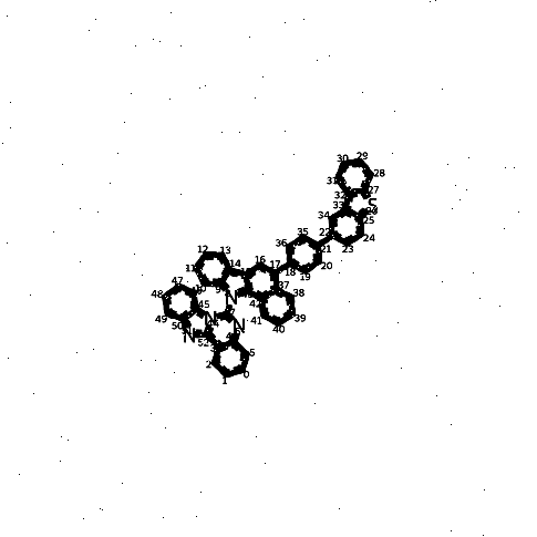 c1ccc2c(c1)nc(-n1c3ccccc3c3cc(-c4ccc(-c5ccc6sc7ccccc7c6c5)cc4)c4ccccc4c31)n1c3ccccc3nc21